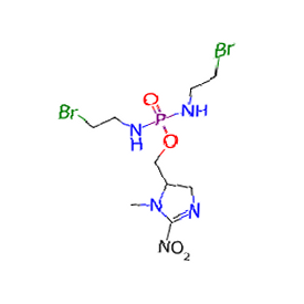 CN1C([N+](=O)[O-])=NCC1COP(=O)(NCCBr)NCCBr